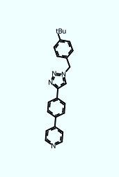 CC(C)(C)c1ccc(Cn2cc(-c3ccc(-c4ccncc4)cc3)nn2)cc1